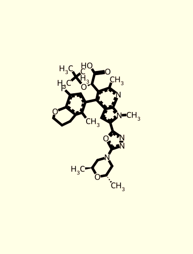 Cc1nc2c(cc(-c3nnc(N4C[C@H](C)O[C@@H](C)C4)o3)n2C)c(-c2cc(F)c3c(c2C)CCCO3)c1[C@H](OC(C)(C)C)C(=O)O